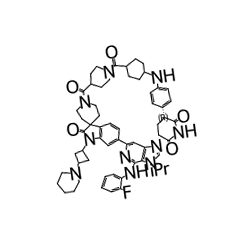 CC(C)n1cnc2cc(-c3ccc4c(c3)N(C3CC(N5CCCCC5)C3)C(=O)C43CCN(C(=O)C4CCN(C(=O)C5CCC(Nc6ccc([C@H]7CCC(=O)NC7=O)cc6)CC5)CC4)CC3)nc(Nc3ccccc3F)c21